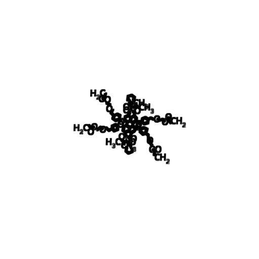 C=CC(=O)OCCOCCc1ccc(Oc2cc3c4c(cc(Oc5ccc(CCOCCOC(=O)C=C)cc5)c5c6c(Oc7ccc(CCOCCOC(=O)C=C)cc7)cc7c8c(cc(Oc9ccc(CCOCCOC(=O)C=C)cc9)c(c2c45)c86)C(=O)N(C(C(=O)N2CCCCC2)C(C)CC)C7=O)C(=O)N(C(C(=O)N2CCCCC2)C(C)CC)C3=O)cc1